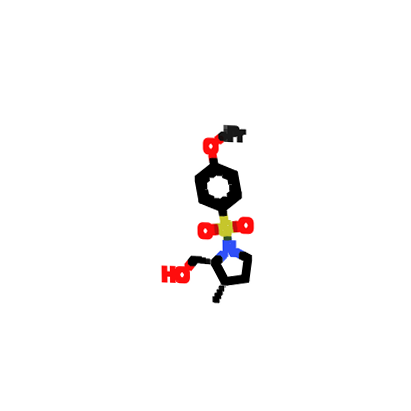 CC(C)Oc1ccc(S(=O)(=O)N2CC[C@H](C)[C@@H]2CO)cc1